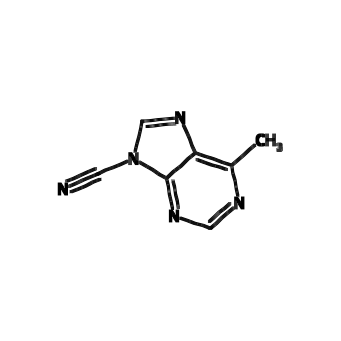 Cc1ncnc2c1ncn2C#N